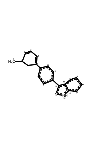 CC1C=CC=C(c2ccc(-c3n[nH]c4ccccc34)cc2)C1